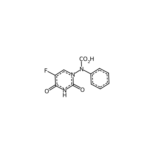 O=C(O)N(c1ccccc1)n1cc(F)c(=O)[nH]c1=O